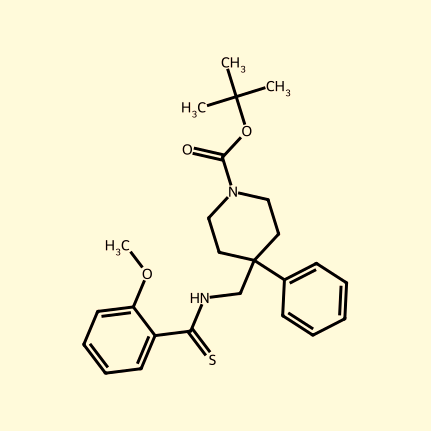 COc1ccccc1C(=S)NCC1(c2ccccc2)CCN(C(=O)OC(C)(C)C)CC1